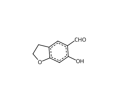 O=Cc1cc2c(cc1O)OCC2